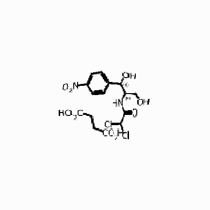 O=C(N[C@H](CO)[C@H](O)c1ccc([N+](=O)[O-])cc1)C(Cl)Cl.O=C(O)CCC(=O)O